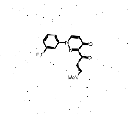 CNC=CC(=O)c1nn(-c2cccc(C(F)(F)F)c2)ccc1=O